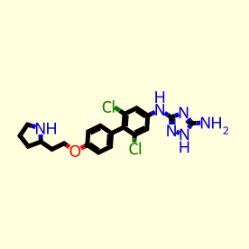 Nc1nc(Nc2cc(Cl)c(-c3ccc(OCCC4CCCN4)cc3)c(Cl)c2)n[nH]1